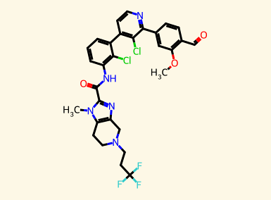 COc1cc(-c2nccc(-c3cccc(NC(=O)c4nc5c(n4C)CCN(CCC(F)(F)F)C5)c3Cl)c2Cl)ccc1C=O